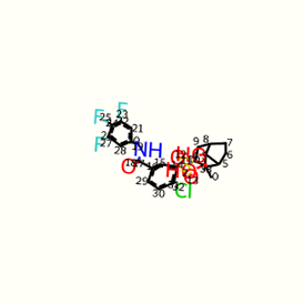 CC(O)C1(O)C2CCC1CC(S(=O)(=O)c1cc(C(=O)Nc3cc(F)c(F)c(F)c3)ccc1Cl)C2